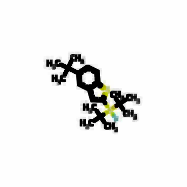 CC(C)(C)c1ccc2sc(S(F)(C(C)(C)C)C(C)(C)C)cc2c1